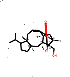 CC(C)C1CC[C@]2(C)C[C@H]3[C@@H]4C[C@@H](OC(=O)/C4=C/C[C@@H]12)[C@]3(O)CO